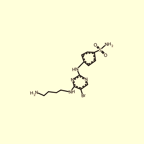 NCCCCNc1nc(Nc2ccc(S(N)(=O)=O)cc2)ncc1Br